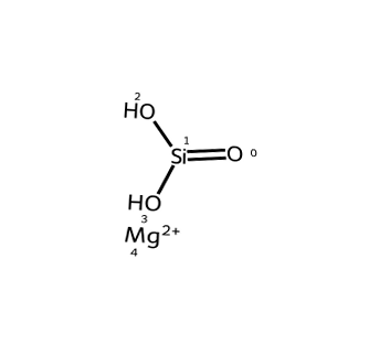 O=[Si](O)O.[Mg+2]